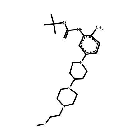 COCCN1CCN(C2CCN(c3ccc(N)c(NC(=O)OC(C)(C)C)c3)CC2)CC1